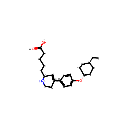 CC[C@H]1CC[C@H](Oc2ccc(C3=CC(CCCCC(=O)O)NCC3)cc2)CC1